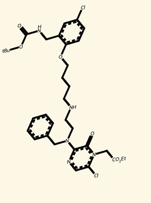 CCOC(=O)Cn1c(Cl)cnc(N(CCNCCCCOc2ccc(Cl)cc2CNC(=O)OC(C)(C)C)Cc2ccccc2)c1=O